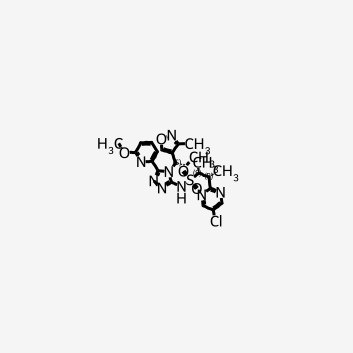 CC[C@@H](c1conc1C)n1c(NS(=O)(=O)[C@@H](C)[C@H](C)c2ncc(Cl)cn2)nnc1-c1cccc(OC)n1